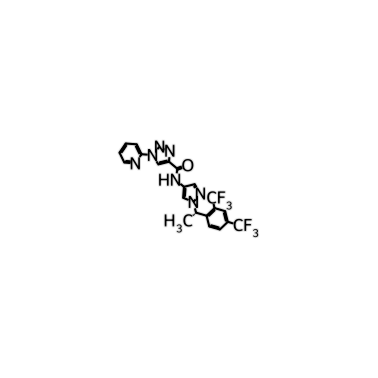 C[C@@H](c1ccc(C(F)(F)F)cc1C(F)(F)F)n1cc(NC(=O)c2cn(-c3ccccn3)nn2)cn1